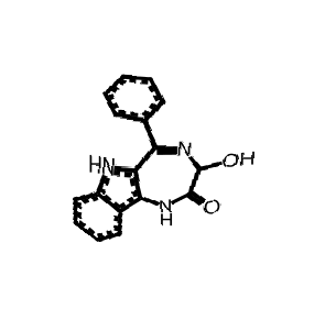 O=C1Nc2c([nH]c3ccccc23)C(c2ccccc2)=NC1O